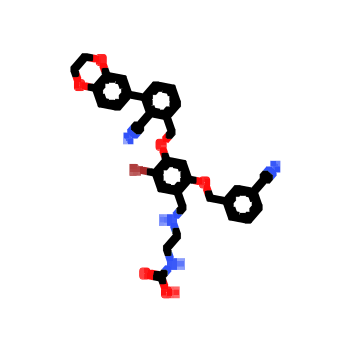 N#Cc1cccc(COc2cc(OCc3cccc(-c4ccc5c(c4)OCCO5)c3C#N)c(Br)cc2CNCCNC(=O)O)c1